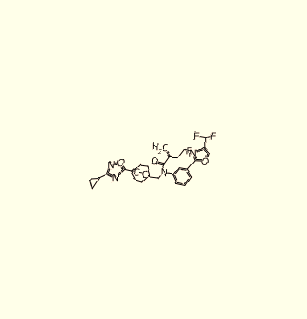 C=C(CCF)C(=O)N(CC12CCC(c3nc(C4CC4)no3)(CC1)CC2)c1cccc(-c2nc(C(F)F)co2)c1